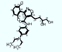 CCN(CC)c1ccc(NC(=O)c2c(-c3c(Cl)cccc3Cl)noc2CCC(O)CO)cc1